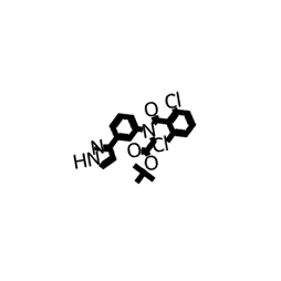 CC(C)(C)OC(=O)CN(C(=O)c1c(Cl)cccc1Cl)c1cccc(-c2cc[nH]n2)c1